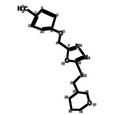 Cc1ccc(OCc2nnc(SCC3CCCOC3)o2)cc1